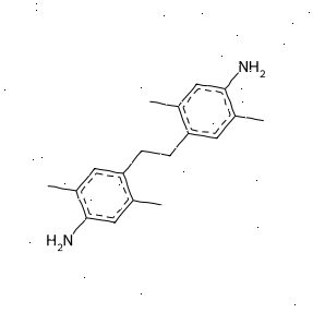 Cc1cc(CCc2cc(C)c(N)cc2C)c(C)cc1N